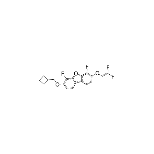 FC(F)=COc1ccc2c(oc3c(F)c(OCC4CCC4)ccc32)c1F